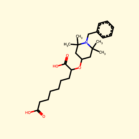 CC1(C)CC(OC(CCCCCCC(=O)O)C(=O)O)CC(C)(C)N1Cc1ccccc1